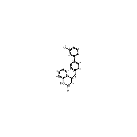 CC(=O)c1cccc(-c2ccc(OC(CC(C)O)c3cccnc3)cc2)c1